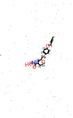 CC#CCOc1ccc(SCC2CC(C(=O)NO)CCO2)cc1